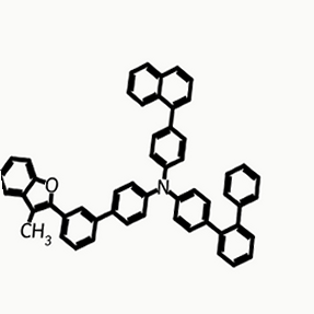 Cc1c(-c2cccc(-c3ccc(N(c4ccc(-c5ccccc5-c5ccccc5)cc4)c4ccc(-c5cccc6ccccc56)cc4)cc3)c2)oc2ccccc12